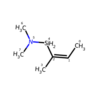 CC=C(C)[SiH2]N(C)C